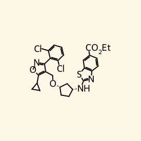 CCOC(=O)c1ccc2nc(N[C@@H]3CC[C@H](OCc4c(-c5c(Cl)cccc5Cl)noc4C4CC4)C3)sc2c1